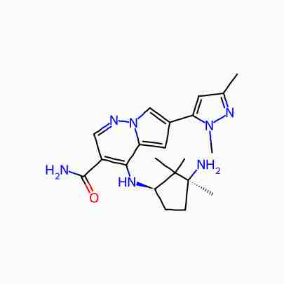 Cc1cc(-c2cc3c(N[C@@H]4CC[C@](C)(N)C4(C)C)c(C(N)=O)cnn3c2)n(C)n1